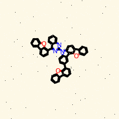 c1ccc2c(-c3cccc4c3oc3ccccc34)nc(-n3c4ccc(-c5cccc6c5oc5ccccc56)cc4c4c5oc6ccccc6c5ccc43)nc2c1